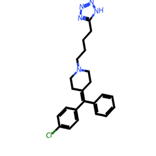 Clc1ccc(C(=C2CCN(CCCCc3nnn[nH]3)CC2)c2ccccc2)cc1